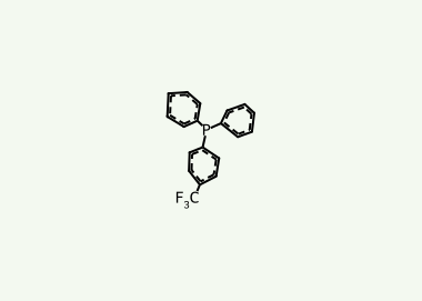 FC(F)(F)c1ccc(P(c2ccccc2)c2ccccc2)cc1